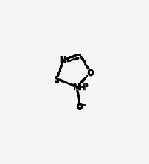 [O-][NH+]1OC=NS1